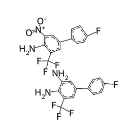 Nc1c([N+](=O)[O-])cc(-c2ccc(F)cc2)cc1C(F)(F)F.Nc1cc(-c2ccc(F)cc2)cc(C(F)(F)F)c1N